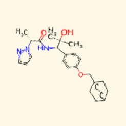 C[C@H](C(=O)N[C@H](c1ccc(OCC23CCC(CC2)CC3)cc1)C(C)(C)O)n1cccn1